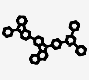 c1ccc(-c2cc(-c3ccccc3)nc(-c3ccc(-n4c5ccc(-c6ccc7c(c6)c6ccccc6n7-c6ccccc6)cc5c5c6ccccc6ccc54)cc3)n2)cc1